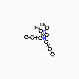 Cc1cc2c3c(c1)N(c1cccc(C(C)(C)C)c1)c1cc(C(C)(C)C)ccc1B3c1cc(C(C)(C)c3ccc(-c4ccccc4)cc3)ccc1N2c1ccc(C(C)(C)c2ccc(-c3ccccc3)cc2)cc1